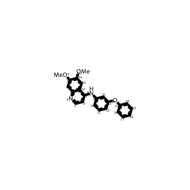 COc1cc2nccc(Nc3cccc(Oc4ccccc4)c3)c2cc1OC